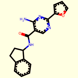 Nc1nc(-c2ccco2)ncc1C(=O)NC1CCc2ccccc21